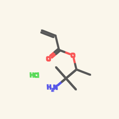 C=CC(=O)OC(C)C(C)(C)N.Cl